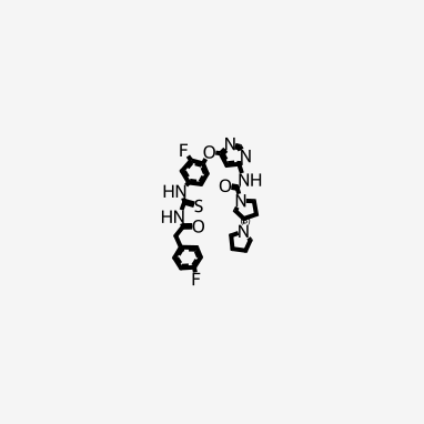 O=C(Cc1ccc(F)cc1)NC(=S)Nc1ccc(Oc2cc(NC(=O)N3CC[C@H](N4CCCC4)C3)ncn2)c(F)c1